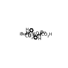 CCC(C)C(NC(=O)c1ccccc1SSc1ccccc1C(=O)NC(C(=O)O)C(C)CC)C(=O)O